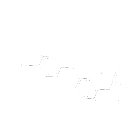 Cc1ccc(Oc2cccc(C(O)P(=O)(O)O)c2)cc1